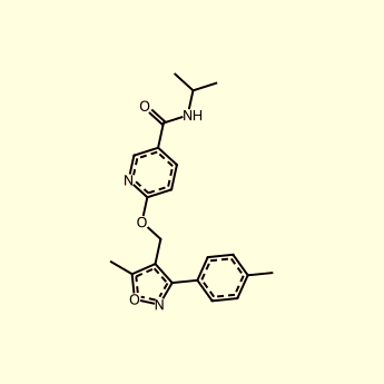 Cc1ccc(-c2noc(C)c2COc2ccc(C(=O)NC(C)C)cn2)cc1